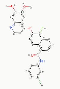 COc1cc2nccc(Oc3ccc4c(C(=O)Nc5cccc(Cl)c5)cccc4c3F)c2cc1OC